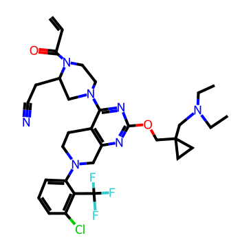 C=CC(=O)N1CCN(c2nc(OCC3(CN(CC)CC)CC3)nc3c2CCN(c2cccc(Cl)c2C(F)(F)F)C3)CC1CC#N